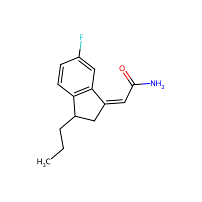 CCCC1C/C(=C/C(N)=O)c2cc(F)ccc21